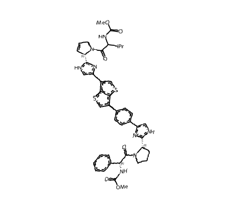 COC(=O)NC(C(=O)N1CC=C[C@H]1c1nc(-c2csc3c(-c4ccc(-c5c[nH]c([C@@H]6CCCN6C(=O)[C@H](NC(=O)OC)c6ccccc6)n5)cc4)csc23)c[nH]1)C(C)C